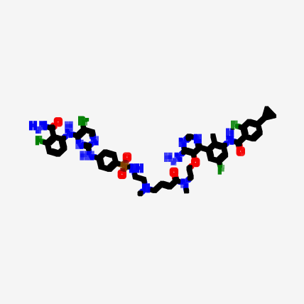 Cc1c(NC(=O)c2ccc(C3CC3)cc2F)cc(F)cc1-c1ncnc(N)c1OCCN(C)C(=O)/C=C/CN(C)CCNS(=O)(=O)c1ccc(Nc2ncc(Br)c(Nc3cccc(F)c3C(N)=O)n2)cc1